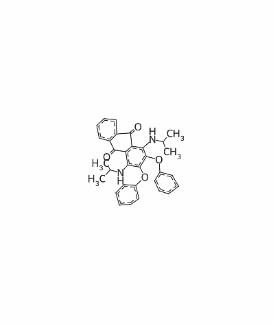 CC(C)Nc1c(Oc2ccccc2)c(Oc2ccccc2)c(NC(C)C)c2c1C(=O)c1ccccc1C2=O